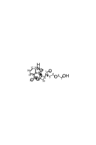 O=CN(CCOCCO)C1CCN1N1ONc2cccc([N+](=O)[O-])c21